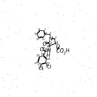 O=C(O)O[C@H]1CN(Cc2ccccc2)C(=O)[C@H]1NC(=O)c1ccc(Cl)c(Cl)c1